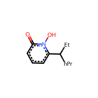 CCCC(CC)c1cccc(=O)n1O